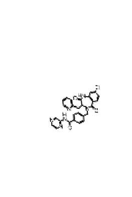 O=C(Nc1cnccn1)c1ccc(CN2C(=O)c3ccc(Cl)cc3NC(=O)C2Cc2ccccn2)cc1